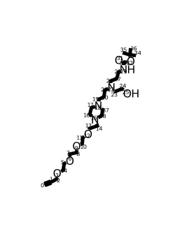 C#CCOCCOCCOCCOCCN1CCN(CCCN(CCO)CCCNC(=O)OC(C)(C)C)CC1